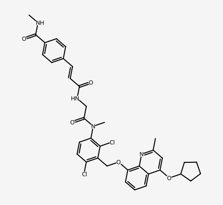 CNC(=O)c1ccc(C=CC(=O)NCC(=O)N(C)c2ccc(Cl)c(COc3cccc4c(OC5CCCC5)cc(C)nc34)c2Cl)cc1